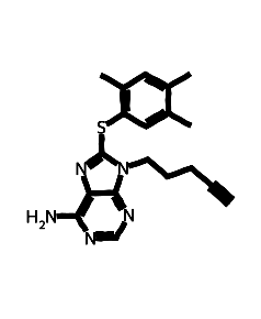 C#CCCCn1c(Sc2cc(C)c(C)cc2C)nc2c(N)ncnc21